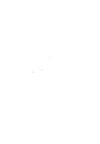 CC[C@H](COc1ccncc1)C[C@@H]1Cc2ccccc2C12CCC(Nc1cccc(Cl)c1)(C(=O)O)CC2